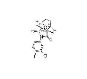 O=C1[C@@H]2[C@H](C(=O)N1c1ccc(I)c(Cl)c1)[C@H]1CC[C@@H]2O1